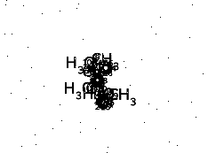 COc1cc(C(=O)N(C(C)C)C2CCCCC2)ccc1CNc1cccnc1OC